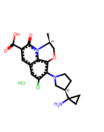 C[C@H]1COc2c(N3CC[C@@H](C4(N)CC4)C3)c(Cl)cc3cc(C(=O)O)c(=O)n1c23.Cl